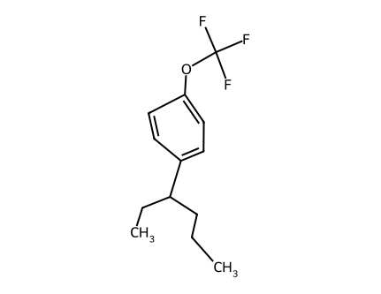 CCCC(CC)c1ccc(OC(F)(F)F)cc1